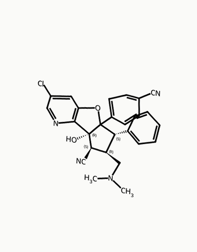 CN(C)C[C@@H]1[C@@H](c2ccccc2)C2(c3ccc(C#N)cc3)Oc3cc(Cl)cnc3[C@]2(O)[C@@H]1C#N